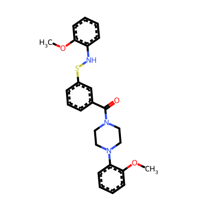 COc1ccccc1NSc1cccc(C(=O)N2CCN(c3ccccc3OC)CC2)c1